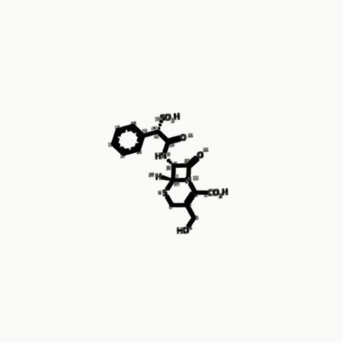 O=C(O)C1=C(CO)CS[C@@H]2[C@H](NC(=O)[C@H](c3ccccc3)S(=O)(=O)O)C(=O)N12